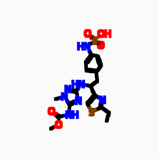 CCc1nc(C(Cc2ccc(NS(=O)(=O)O)cc2)Nc2nc(NC(=O)OC)n(C)n2)cs1